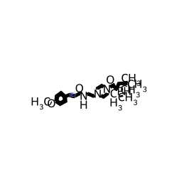 COc1ccc(/C=C/C(=O)NCCN2CCN(C(=O)C(C)(CC(C)(C)C)PC)CC2)cc1